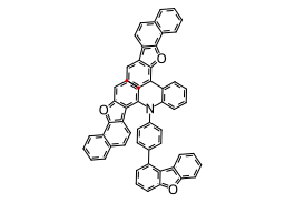 c1ccc(N(c2ccc(-c3cccc4oc5ccccc5c34)cc2)c2cccc3oc4c5ccccc5ccc4c23)c(-c2cccc3c2oc2c4ccccc4ccc32)c1